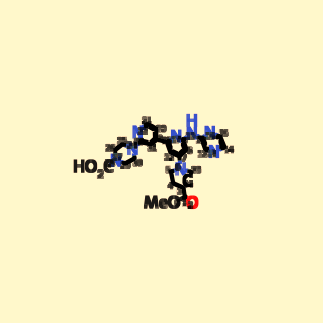 COC(=O)C1CCN(c2cc(Nc3cnccn3)nc(-c3ccnc(N4CCN(C(=O)O)CC4)c3)c2)CC1